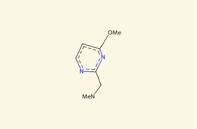 CNCc1nccc(OC)n1